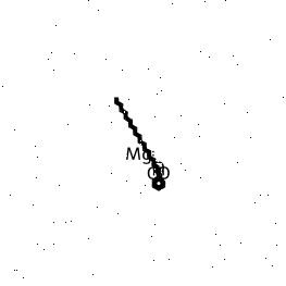 CCCCCCCCCCCCCCCCCCOS(=O)(=O)c1ccccc1.[Mg]